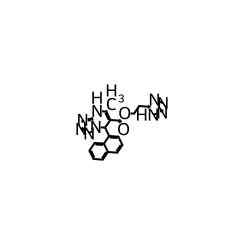 CC1=C(C(=O)OCCc2nnn[nH]2)C(c2cccc3ccccc23)n2nnnc2N1